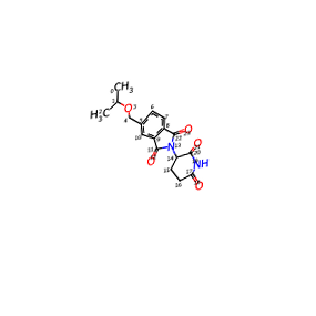 CC(C)OCc1ccc2c(c1)C(=O)N(C1CCC(=O)NC1=O)C2=O